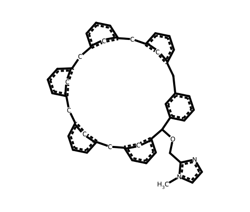 Cn1ccnc1COC1c2cccc(c2)Cc2cccc(c2)Cc2cccc(c2)Cc2cccc(c2)Cc2cccc(c2)Cc2cccc1c2